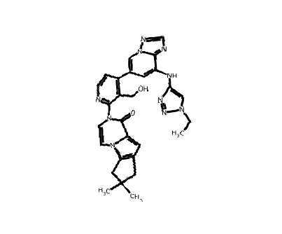 CCn1cc(Nc2cc(-c3ccnc(-n4ccn5c6c(cc5c4=O)CC(C)(C)C6)c3CO)cn3ncnc23)nn1